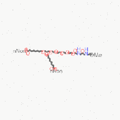 CCCCCCCCCOC(=O)CCCCCCCOCC(COCCOCCOCCOCCOC(=O)CNCC(=O)CNCCOC)OCCCCCCCC(=O)OCCCCCCCCC